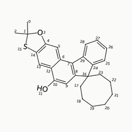 CC1(C)Oc2cc3c4c(cc(O)c3cc2S1)C1(CCCCCCC1)c1ccccc1-4